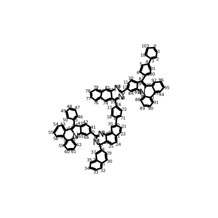 c1ccc(-c2ccc(-c3c4ccc(-c5nc(-c6ccc(-c7ccc8ccc9c(-c%10ccc%11ccccc%11c%10)nc(-c%10ccc%11c(-c%12ccccc%12)c%12c%13ccccc%13c%13ccccc%13n%12c%11c%10)nc9c8c7)cc6)c6cc7ccccc7cc6n5)cc4n4c5ccccc5c5ccccc5c34)cc2)cc1